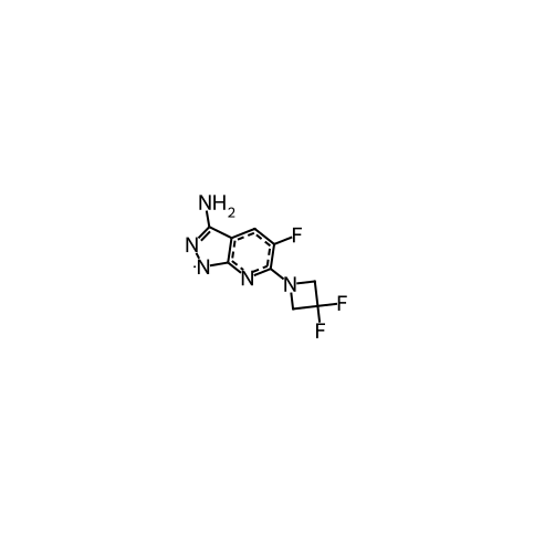 NC1=N[N]c2nc(N3CC(F)(F)C3)c(F)cc21